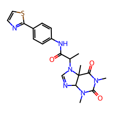 CC(C(=O)Nc1ccc(-c2nccs2)cc1)N1C=NC2N(C)C(=O)N(C)C(=O)C21C